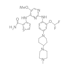 COc1cnc(Nc2ccc(N3CCC(N4CCN(C)CC4)CC3)cc2OC(F)F)nc1Nc1ccsc1C(N)=O